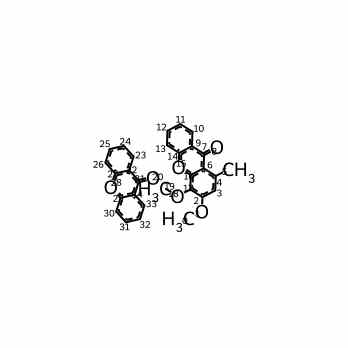 COc1cc(C)c2c(=O)c3ccccc3oc2c1OC.O=c1c2ccccc2oc2ccccc12